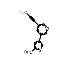 CC#Cc1cncc(-c2csc(C=O)c2)c1